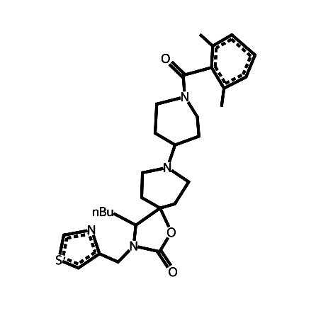 CCCCC1N(Cc2cscn2)C(=O)OC12CCN(C1CCN(C(=O)c3c(C)cccc3C)CC1)CC2